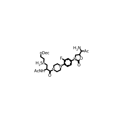 CCCCCCCCCCC[CH2][SnH2][CH2]C(NC(C)=O)C(=O)N1CCN(c2ccc(N3CC(C(N)C(C)=O)OC3=O)cc2F)CC1